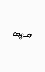 O=S(=O)(CC=Cc1ccccc1)C1=CCC2CCC=CC2=C1